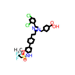 COc1cc(-c2ccc(C=Cc3nc(-c4ccc(Cl)cc4Cl)cn3Cc3ccc(C(=O)O)cc3)cc2)ccc1NS(=O)(=O)CC(F)(F)F